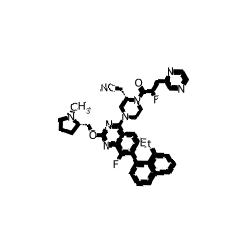 CCc1cccc2cccc(-c3ccc4c(N5CCN(C(=O)/C(F)=C/c6cnccn6)[C@@H](CC#N)C5)nc(OC[C@@H]5CCCN5C)nc4c3F)c12